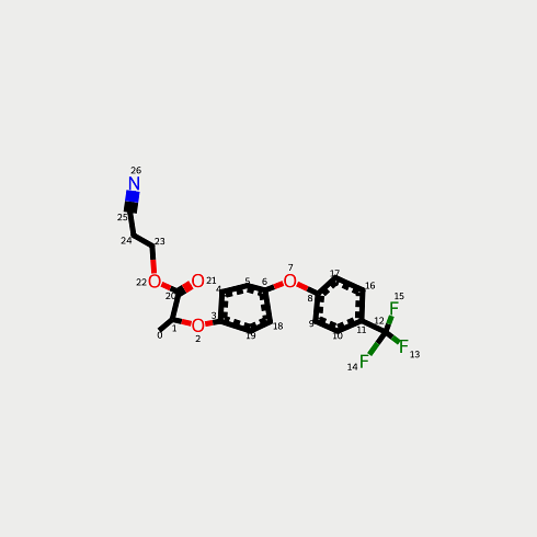 CC(Oc1ccc(Oc2ccc(C(F)(F)F)cc2)cc1)C(=O)OCCC#N